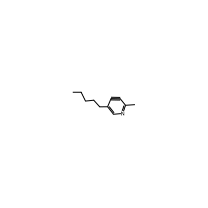 CCCCCc1c#cc(C)nc1